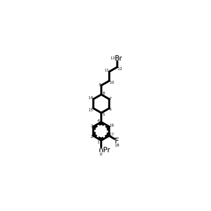 CCCc1ccc(C2CCC(CCCCBr)CC2)cc1F